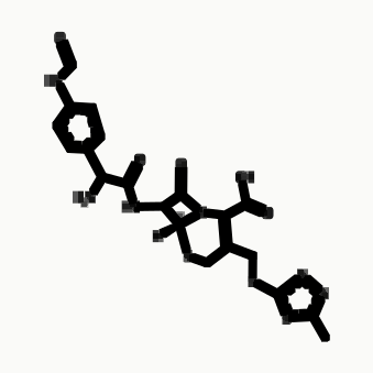 Cc1nnc(SCC2=C(C(=O)O)N3C(=O)C(NC(=O)C(N)c4ccc(NC=O)cc4)[C@H]3SC2)s1